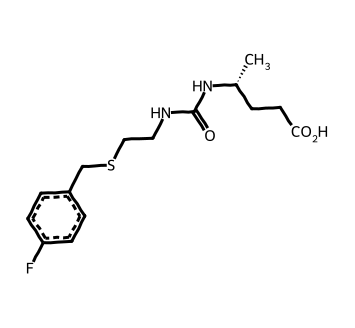 C[C@H](CCC(=O)O)NC(=O)NCCSCc1ccc(F)cc1